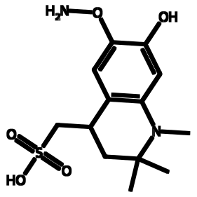 CN1c2cc(O)c(ON)cc2C(CS(=O)(=O)O)CC1(C)C